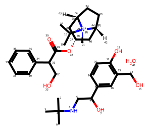 CC(C)(C)NCC(O)c1ccc(O)c(CO)c1.CC(C)[N@@+]1(C)[C@@H]2CC[C@H]1C[C@@H](OC(=O)C(CO)c1ccccc1)C2.O